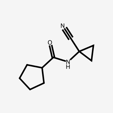 N#CC1(NC(=O)C2CCCC2)CC1